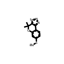 CCC(C)Sc1ccc2c(c1)OC(C)(C)c1[se]nnc1-2